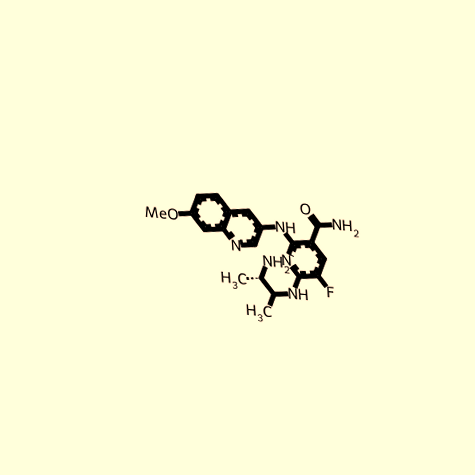 COc1ccc2cc(Nc3nc(NC(C)[C@H](C)N)c(F)cc3C(N)=O)cnc2c1